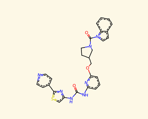 O=C(Nc1cccc(OCC2CCN(C(=O)n3ccc4ccccc43)C2)n1)Nc1csc(-c2ccncc2)n1